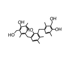 Cc1cc(Cc2cc(C)c(O)c(CO)c2C)c(O)c(Cc2cc(C)c(O)c(CO)c2C)c1C